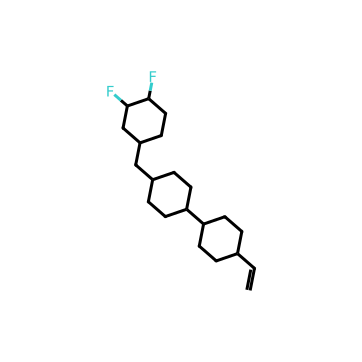 C=CC1CCC(C2CCC(CC3CCC(F)C(F)C3)CC2)CC1